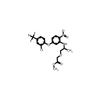 COC(=O)COCC(C)Nc1cc(Oc2ccc(C(F)(F)F)cc2Cl)ccc1[N+](=O)[O-]